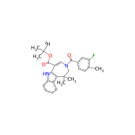 [2H]C(C)(C)OC(=O)C1=CN(C(=O)c2ccc(C)c(F)c2)CC(C)(C)c2c1[nH]c1ccccc21